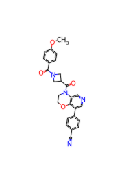 COc1ccc(C(=O)N2CC(C(=O)N3CCOc4c(-c5ccc(C#N)cc5)cncc43)C2)cc1